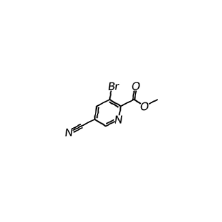 COC(=O)c1ncc(C#N)cc1Br